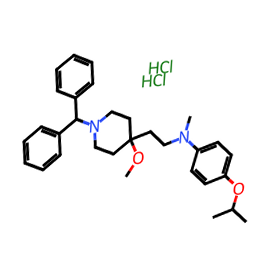 COC1(CCN(C)c2ccc(OC(C)C)cc2)CCN(C(c2ccccc2)c2ccccc2)CC1.Cl.Cl